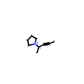 [CH2]C#CC(C)N1CCCC1